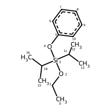 CCO[Si](Oc1ccccc1)(C(C)C)C(C)C